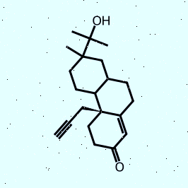 C#CC[C@]12CCC(=O)C=C1CCC1CC(C)(C(C)(C)O)CCC12